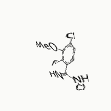 COc1c(Cl)ccc(C(=N)NCl)c1F